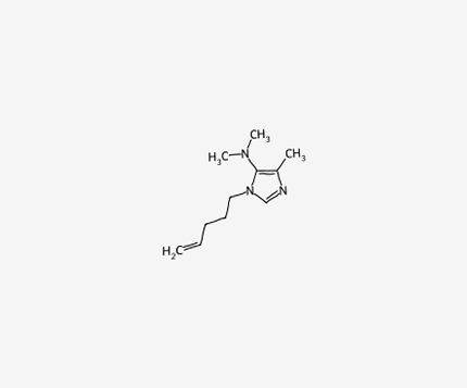 C=CCCCn1cnc(C)c1N(C)C